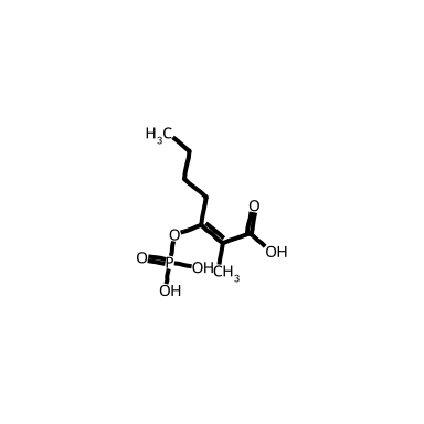 CCCCC(OP(=O)(O)O)=C(C)C(=O)O